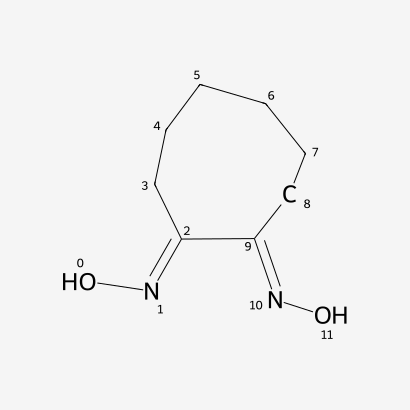 O/N=C1\CCCCCC\C1=N/O